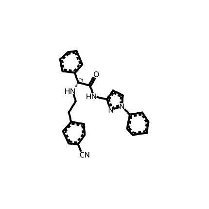 N#Cc1ccc(CCN[C@@H](C(=O)Nc2ccn(-c3ccccc3)n2)c2ccccc2)cc1